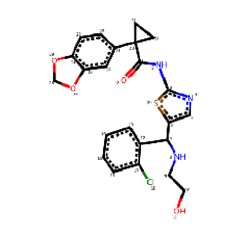 O=C(Nc1ncc(C(NCCO)c2ccccc2Cl)s1)C1(c2ccc3c(c2)OCO3)CC1